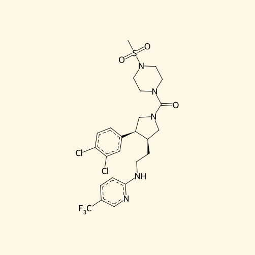 CS(=O)(=O)N1CCN(C(=O)N2C[C@@H](CCNc3ccc(C(F)(F)F)cn3)[C@@H](c3ccc(Cl)c(Cl)c3)C2)CC1